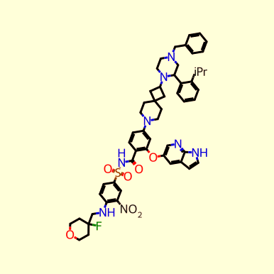 CC(C)c1ccccc1C1CN(Cc2ccccc2)CCN1C1CC2(CCN(c3ccc(C(=O)NS(=O)(=O)c4ccc(NCC5(F)CCOCC5)c([N+](=O)[O-])c4)c(Oc4cnc5[nH]ccc5c4)c3)CC2)C1